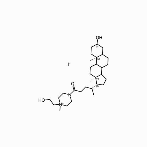 CC(CCC(=O)N1CC[N+](C)(CCO)CC1)[C@H]1CCC2C3CCC4C[C@H](O)CC[C@]4(C)C3CC[C@@]21C.[I-]